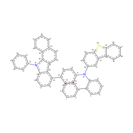 c1ccc(-c2ccccc2N(c2ccc(-c3cccc4c3c3ccc5ccccc5c3n4-c3ccccc3)cc2)c2ccc3sc4ccccc4c3c2)cc1